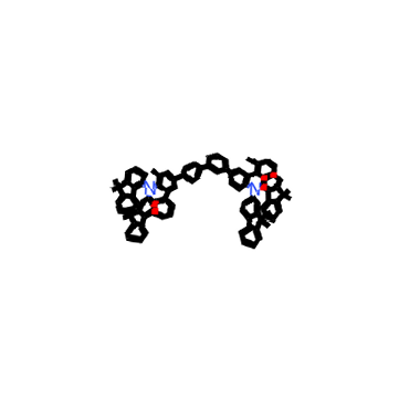 Cc1cccc(C)c1-c1cc(-c2cccc(-c3ccc(-c4cc(C)c(N(c5ccc6c(c5)C(C)(C)c5ccccc5-6)c5cccc6c5-c5ccccc5C6(C)C)c(-c5ccccc5)c4)cc3)c2)ccc1N(c1ccc2c(c1)C(C)(C)c1ccccc1-2)c1cccc2c1-c1ccccc1C2(C)C